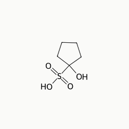 O=S(=O)(O)C1(O)CCCC1